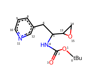 CC(C)(C)OC(=O)NC(Cc1cccnc1)C1CO1